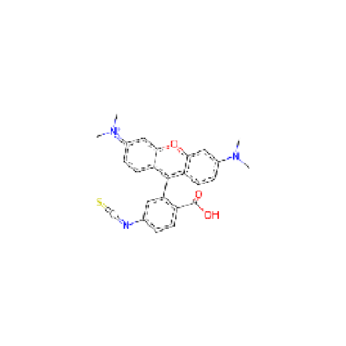 CN(C)c1ccc2c(-c3cc(N=C=S)ccc3C(=O)O)c3ccc(=[N+](C)C)cc-3oc2c1